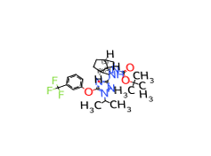 CC(C)n1nc(N[C@@H]2[C@@H]3CC[C@H]2CN(C(=O)OC(C)(C)C)C3)nc1Oc1cccc(C(F)(F)F)c1